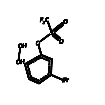 CC(C)c1cccc(OS(=O)(=O)C(F)(F)F)c1.OO